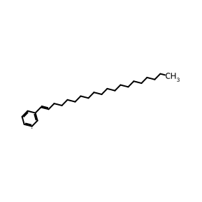 CCCCCCCCCCCCCCCCCCC=Cc1c[c]ccc1